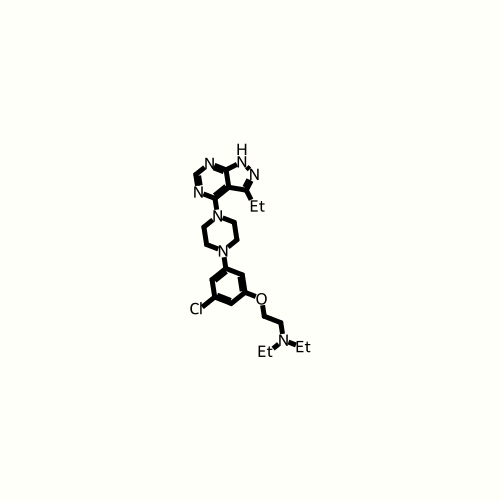 CCc1n[nH]c2ncnc(N3CCN(c4cc(Cl)cc(OCCN(CC)CC)c4)CC3)c12